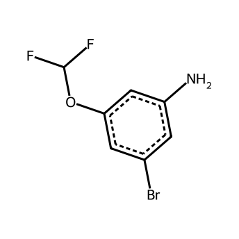 Nc1cc(Br)cc(OC(F)F)c1